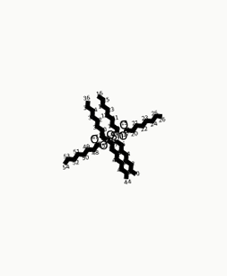 CCCCCCC[CH2][Sn]([CH2]CCCCCCC)([O]C(=O)CCCCCCC)[O][Sn]([CH2]CCCCCCC)([CH2]CCCCCCC)[O]C(=O)CCCCCCC